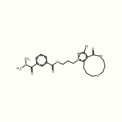 CCc1nn(CCCOC(=O)c2cccc(C(=O)N(C)C)c2)c2c1C(=O)NCCCOCCC2